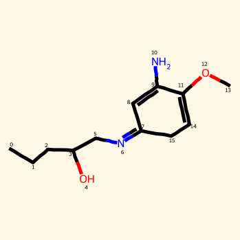 CCCC(O)CN=C1C=C(N)C(OC)=CC1